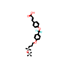 C[Si](C)(C)O[Si](C)(C)CCCOc1ccc(C(F)(F)Oc2ccc(/C=C/C(=O)O)cc2)cc1